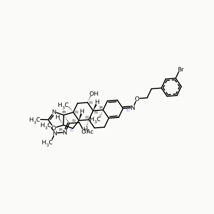 CC(=O)OC/C(=N/N(C)C)[C@@]12N=C(C)O[C@@H]1C[C@H]1[C@@H]3CCC4=C/C(=N/OCCc5cccc(Br)c5)C=C[C@]4(C)[C@H]3[C@@H](O)C[C@@]12C